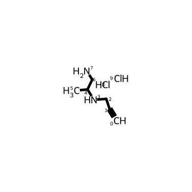 C#CCNC(C)CN.Cl.Cl